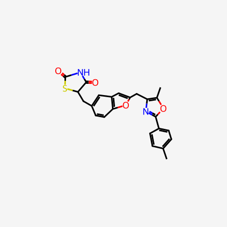 Cc1ccc(-c2nc(Cc3cc4cc(CC5SC(=O)NC5=O)ccc4o3)c(C)o2)cc1